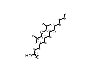 CC(C)COCC(C)C.CCCCCCCCCCCCCC(=O)O